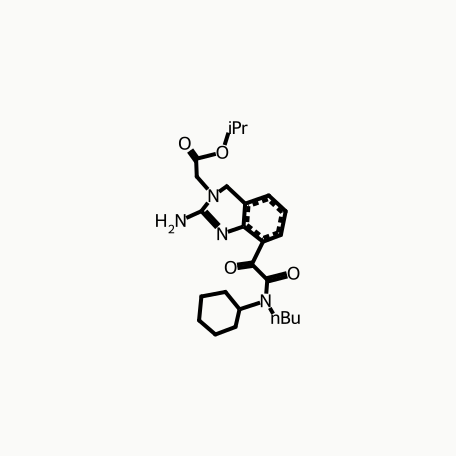 CCCCN(C(=O)C(=O)c1cccc2c1N=C(N)N(CC(=O)OC(C)C)C2)C1CCCCC1